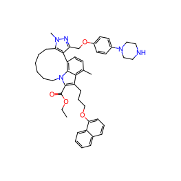 CCOC(=O)c1c(CCCOc2cccc3ccccc23)c2c(C)ccc3c2n1CCCCCCc1c-3c(COc2ccc(N3CCNCC3)cc2)nn1C